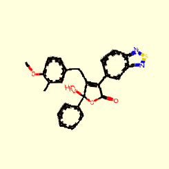 COc1ccc(CC2=C(c3ccc4nsnc4c3)C(=O)OC2(O)c2ccccc2)cc1C